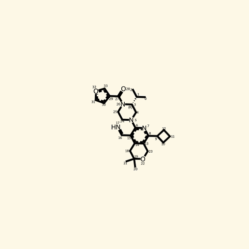 CC(C)[C@@H]1CN(c2nc(C3CCC3)c3c(c2C=N)CC(C)(C)OC3)CCN1C(=O)c1ccoc1